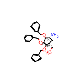 N[C@@H]1C[C@H](CO)[C@H](OCc2ccccc2)[C@@H](OCc2ccccc2)[C@H]1OCc1ccccc1